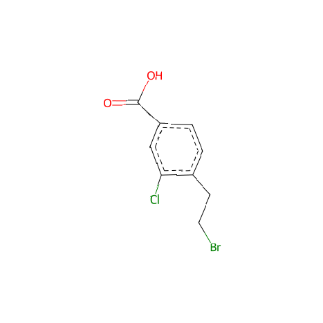 O=C(O)c1ccc(CCBr)c(Cl)c1